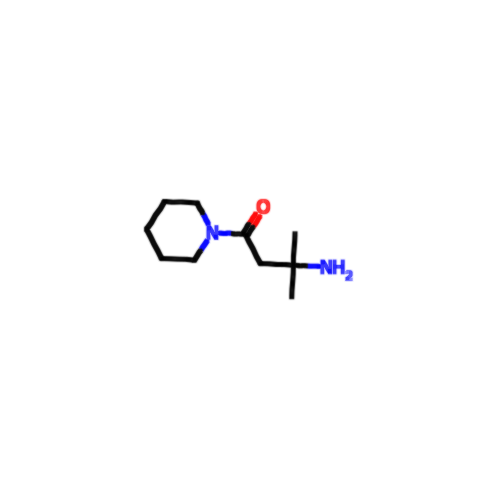 CC(C)(N)CC(=O)N1CCCCC1